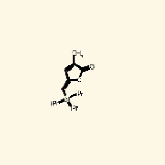 CC1=C/C(=C/[Si](C(C)C)(C(C)C)C(C)C)OC1=O